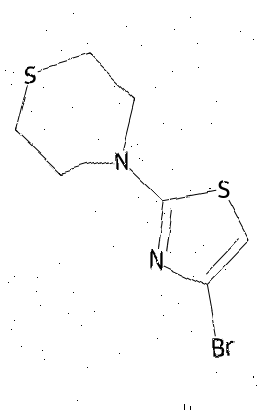 Brc1csc(N2CCSCC2)n1